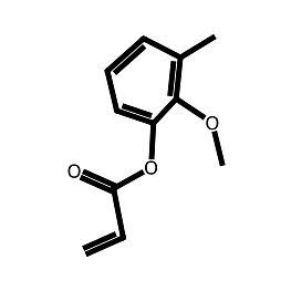 C=CC(=O)Oc1cccc(C)c1OC